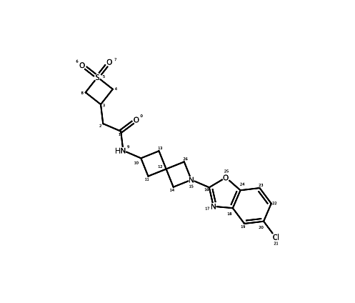 O=C(CC1CS(=O)(=O)C1)NC1CC2(C1)CN(c1nc3cc(Cl)ccc3o1)C2